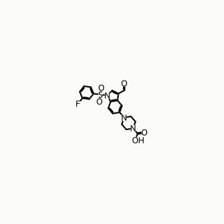 O=Cc1cn(S(=O)(=O)c2cccc(F)c2)c2ccc(N3CCN(C(=O)O)CC3)cc12